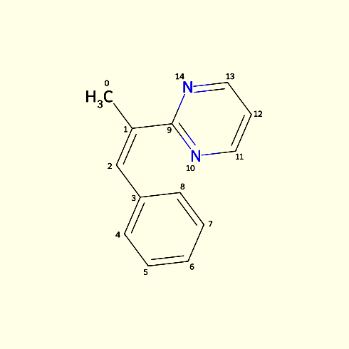 CC(=Cc1ccccc1)c1ncccn1